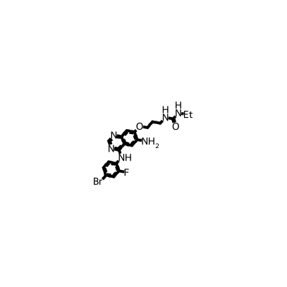 CCNC(=O)NCCCOc1cc2ncnc(Nc3ccc(Br)cc3F)c2cc1N